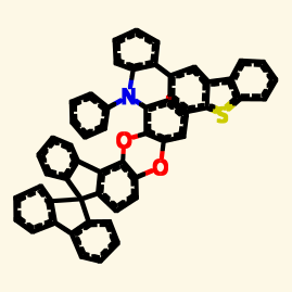 c1ccc(N(c2ccccc2-c2ccc3sc4ccccc4c3c2)c2cccc3c2Oc2c(ccc4c2-c2ccccc2C42c4ccccc4-c4ccccc42)O3)cc1